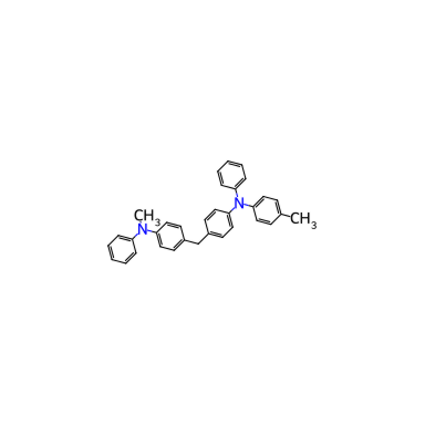 Cc1ccc(N(c2ccccc2)c2ccc(Cc3ccc(N(C)c4ccccc4)cc3)cc2)cc1